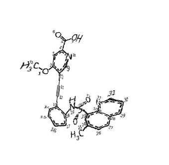 COc1cc(C(=O)O)ncc1C#Cc1ccccc1NS(=O)(=O)c1c(C)ccc2cccnc12